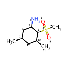 C[C@H]1C[C@@H](N)[C@@H](S(C)(=O)=O)[C@@H](C)C1